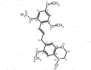 COc1cc(OC)c(C=CCc2cc3c(cc2OC)[S+]([O-])CCO3)c(OC)c1